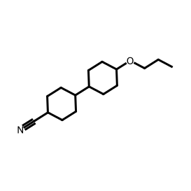 CCCOC1CCC(C2CCC(C#N)CC2)CC1